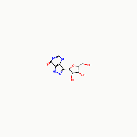 O=c1nc[nH]c2c([C@@H]3O[C@H](CO)[C@@H](O)[C@H]3O)n[nH]c12